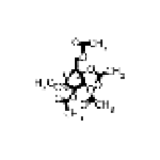 CO[C@H]1OC(COC(C)=O)[C@H](OC(C)=O)C(OC(C)=O)C1OC(C)=O